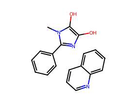 Cn1c(-c2ccccc2)nc(O)c1O.c1ccc2ncccc2c1